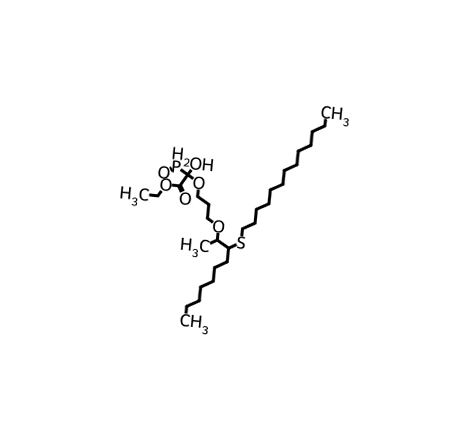 CCCCCCCCCCCCCSC(CCCCCCC)C(C)OCCCOC(O)([PH2]=O)C(=O)OCC